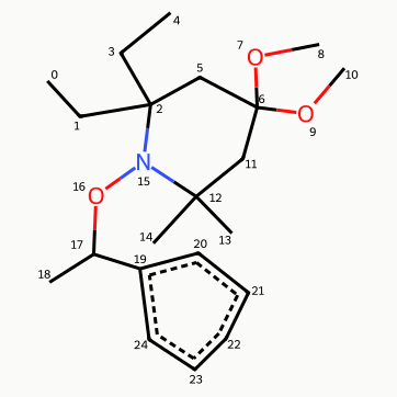 CCC1(CC)CC(OC)(OC)CC(C)(C)N1OC(C)c1ccccc1